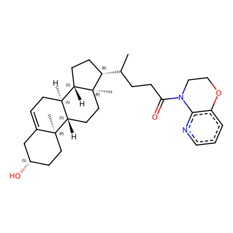 CC(CCC(=O)N1CCOc2cccnc21)[C@H]1CC[C@H]2[C@@H]3CC=C4C[C@@H](O)CC[C@]4(C)[C@H]3CC[C@]12C